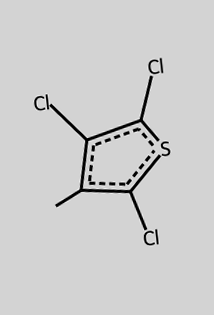 Cc1c(Cl)sc(Cl)c1Cl